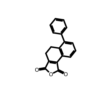 O=C1OC(=O)C2=C1CCc1c2cccc1-c1ccccc1